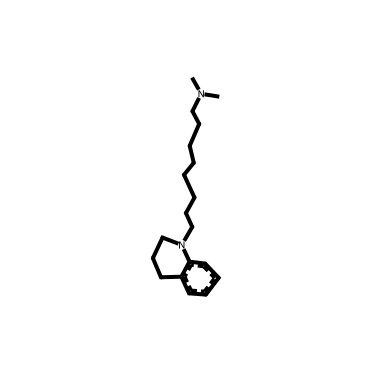 CN(C)CCCCCCCCN1CCCc2ccccc21